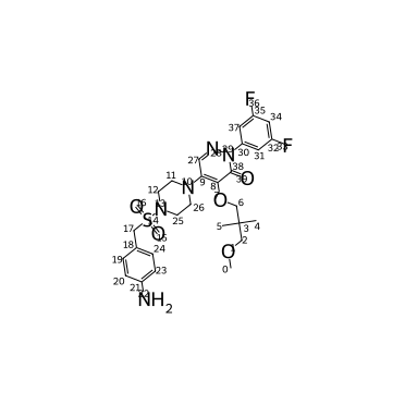 COCC(C)(C)COc1c(N2CCN(S(=O)(=O)Cc3ccc(N)cc3)CC2)cnn(-c2cc(F)cc(F)c2)c1=O